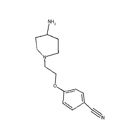 N#Cc1ccc(OCCN2CCC(N)CC2)cc1